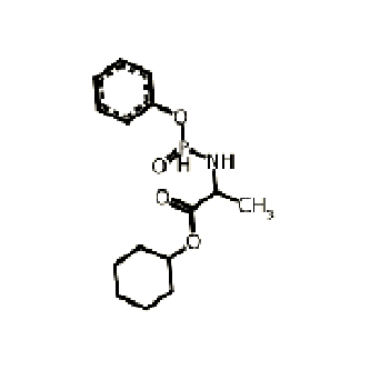 CC(N[PH](=O)Oc1ccccc1)C(=O)OC1CCCCC1